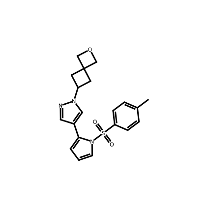 Cc1ccc(S(=O)(=O)n2cccc2-c2cnn(C3CC4(COC4)C3)c2)cc1